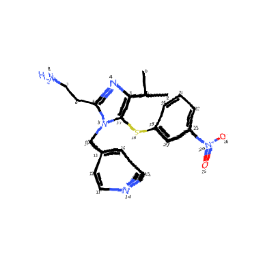 CC(C)c1nc(CCN)n(Cc2ccncc2)c1Sc1cccc([N+](=O)[O-])c1